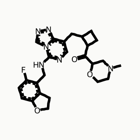 CN1CCOC(C(=O)C2CCC2Cc2cnc(NCc3c(F)ccc4c3CCO4)n3cnnc23)C1